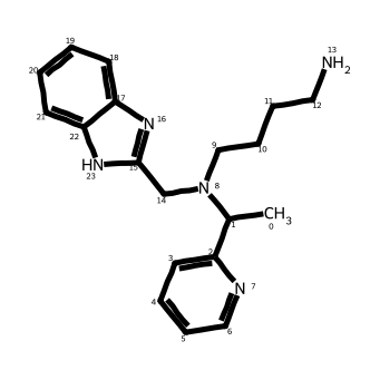 CC(c1ccccn1)N(CCCCN)Cc1nc2ccccc2[nH]1